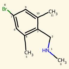 CNCc1c(C)cc(Br)cc1C